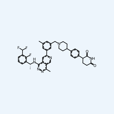 Cc1cc(CN2CCC(c3ccc(C4CCC(=O)NC4=O)cc3)CC2)cc(-c2cc3c(N[C@H](C)c4cccc(C(F)F)c4F)nnc(C)c3cn2)c1